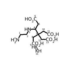 NCCN[C](CC(=O)O)C(CC(=O)O)(CC(=O)O)CC(=O)O.[KH].[KH]